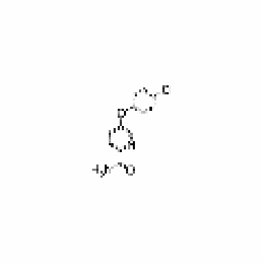 NC(=O)c1ccc(Oc2ccc(Cl)cc2)cn1